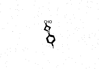 O=CC1CN(c2ccc(I)cc2)C1